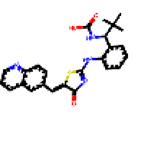 CC(C)(C)C(NC(=O)O)c1ccccc1NC1=NC(=O)/C(=C/c2ccc3ncccc3c2)S1